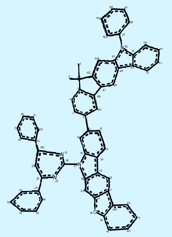 CC1(C)c2ccc(-c3ccc4c5cc6c(cc5n(-c5nc(-c7ccccc7)cc(-c7ccccc7)n5)c4c3)oc3ccccc36)cc2-c2cc3c4ccccc4n(-c4ccccc4)c3cc21